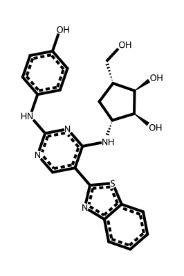 OC[C@H]1C[C@@H](Nc2nc(Nc3ccc(O)cc3)ncc2-c2nc3ccccc3s2)[C@H](O)[C@@H]1O